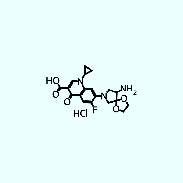 Cl.NC1CN(c2cc3c(cc2F)c(=O)c(C(=O)O)cn3C2CC2)CC12OCCO2